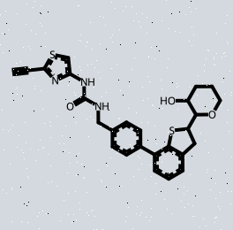 C#Cc1nc(NC(=O)NCc2ccc(-c3cccc4c3SC(C3OCCCC3O)C4)cc2)cs1